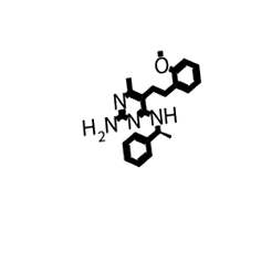 COc1ccccc1CCc1c(C)nc(N)nc1N[C@@H](C)c1ccccc1